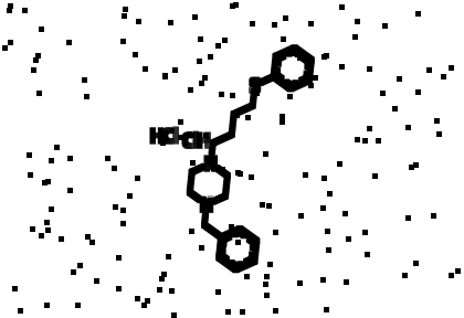 Cl.Cl.c1ccc(CN2CCN(CCCCSc3ccccc3)CC2)cc1